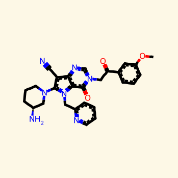 COc1cccc(C(=O)Cn2cnc3c(C#N)c(N4CCC[C@H](N)C4)n(Cc4ccccn4)c3c2=O)c1